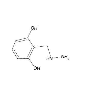 NNCc1c(O)cccc1O